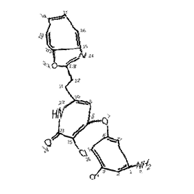 Nc1cc(Cl)cc(Oc2cc(CCc3nc4ccccc4o3)[nH]c(=O)c2Cl)c1